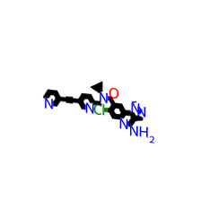 Cn1ncc2c(N)nc3cc(Cl)c(C(=O)N(Cc4ccc(C#Cc5cccnc5)cn4)C4CC4)cc3c21